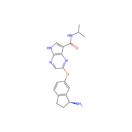 CC(C)NC(=O)c1c[nH]c2ncc(Oc3ccc4c(c3)[C@@H](N)CC4)nc12